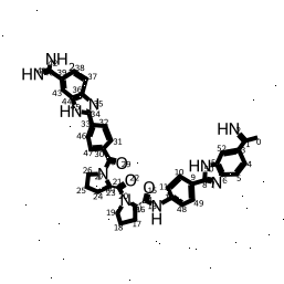 CC(=N)c1ccc2nc(-c3ccc(NC(=O)[C@@H]4CCCN4C(=O)[C@H]4CCCN4C(=O)c4ccc(-c5nc6ccc(C(=N)N)cc6[nH]5)cc4)cc3)[nH]c2c1